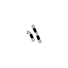 [O]=[Ti]=[O].[O]=[Zn]